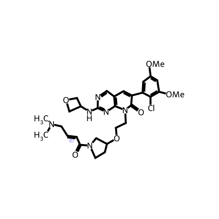 COc1cc(OC)c(Cl)c(-c2cc3cnc(NC4COC4)nc3n(CCOC3CCN(C(=O)/C=C/CN(C)C)C3)c2=O)c1